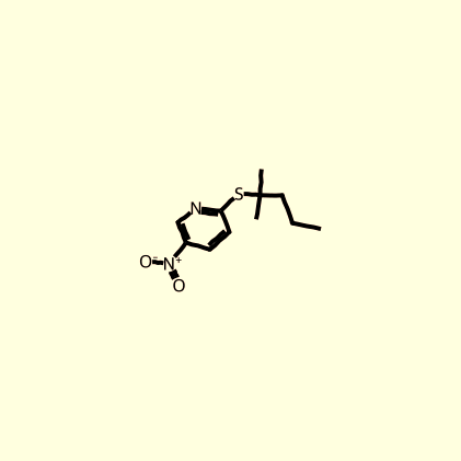 CCCC(C)(C)Sc1ccc([N+](=O)[O-])cn1